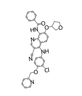 N#Cc1cnc2c(NC(=O)c3ccccc3)c(OC3CCOC3)ccc2c1Nc1ccc(OCc2ccccn2)c(Cl)c1